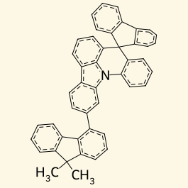 CC1(C)c2ccccc2-c2c(-c3ccc4c5cccc6c5n(c4c3)-c3ccccc3C63c4ccccc4-c4ccccc43)cccc21